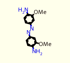 COc1cc(/N=N/c2ccc(N)c(OC)c2)ccc1N